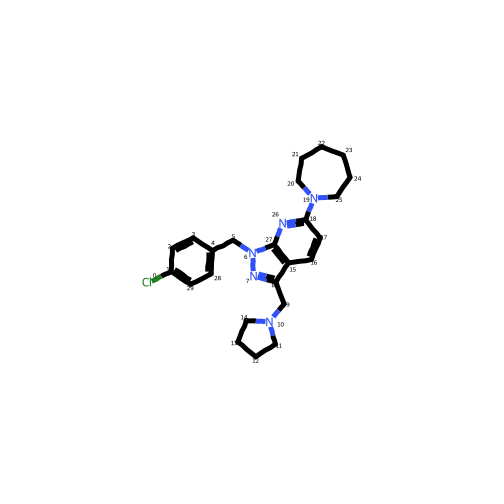 Clc1ccc(Cn2nc(CN3CCCC3)c3ccc(N4CCCCCC4)nc32)cc1